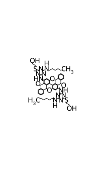 CCCCCCNc1nc(Nc2ccc(-c3ccc(Nc4nc(NCCCCCC)nc(SCCO)n4)c4c3C(=O)c3ccccc3C4=O)c3c2C(=O)c2ccccc2C3=O)nc(SCCO)n1